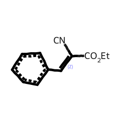 [C-]#[N+]/C(=C\c1ccccc1)C(=O)OCC